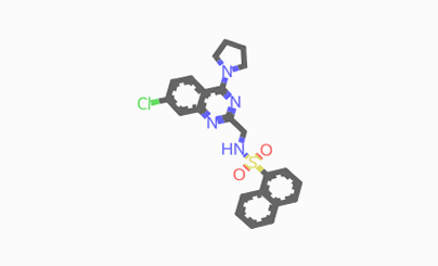 O=S(=O)(NCc1nc(N2CCCC2)c2ccc(Cl)cc2n1)c1cccc2ccccc12